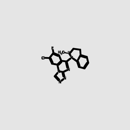 C[C@@H]1CCc2ccccc2N1c1nc2nncn2c2cc(Cl)c(F)cc12